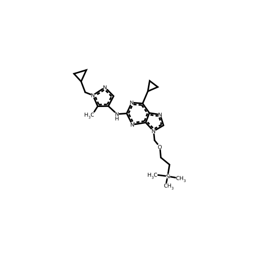 Cc1c(Nc2nc(C3CC3)c3ncn(COCC[Si](C)(C)C)c3n2)cnn1CC1CC1